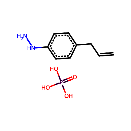 C=CCc1ccc(NN)cc1.O=P(O)(O)O